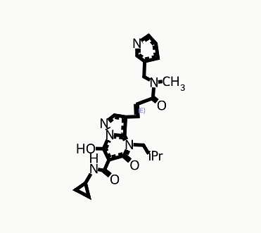 CC(C)Cn1c(=O)c(C(=O)NC2CC2)c(O)n2ncc(/C=C/C(=O)N(C)Cc3cccnc3)c12